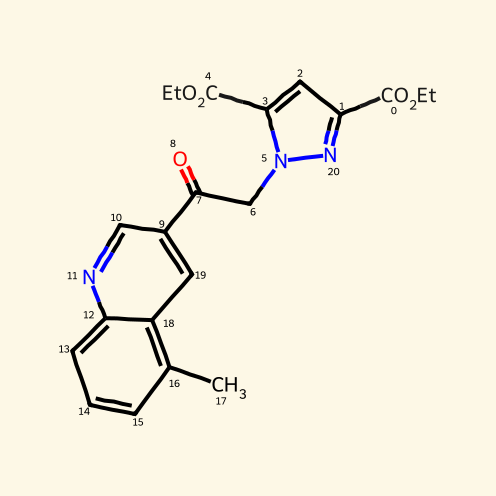 CCOC(=O)c1cc(C(=O)OCC)n(CC(=O)c2cnc3cccc(C)c3c2)n1